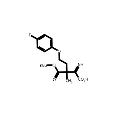 CCCCOC(=O)C(C)(CCOc1ccc(F)cc1)C(=N)C(=O)O